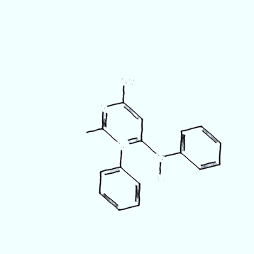 CCN(c1ccccc1)c1cc(NC)nc(C)[n+]1-c1ccccc1.[Cl-]